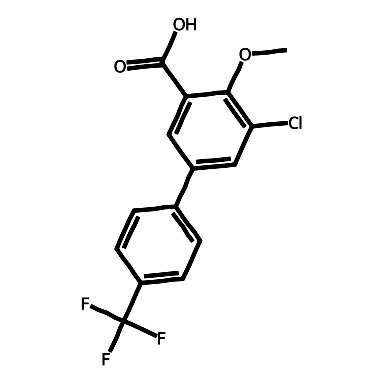 COc1c(Cl)cc(-c2ccc(C(F)(F)F)cc2)cc1C(=O)O